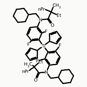 CCCC(C)(CC)C(=O)N(CC1CCCCC1)c1ccc(F)[c]([Ti]([c]2c(F)ccc(N(CC3CCCCC3)C(=O)C(C)(CC)CCC)c2F)([CH]2C=CC=C2)[CH]2C=CC=C2)c1F